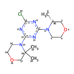 C[C@@H]1COCCN1c1nc(Cl)nc(N2CCOCC2(C)C)n1